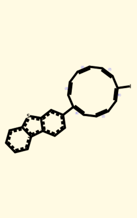 IC1=C/C=C\C=C(c2ccc3c(c2)sc2ccccc23)/C=C\C=C/C=C\1